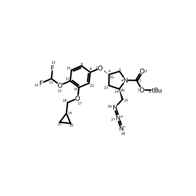 CC(C)(C)OC(=O)N1C[C@@H](Oc2ccc(OC(F)F)c(OCC3CC3)c2)C[C@@H]1CN=[N+]=[N-]